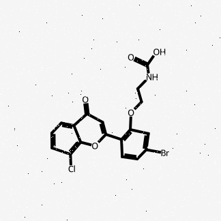 O=C(O)NCCOc1cc(Br)ccc1-c1cc(=O)c2cccc(Cl)c2o1